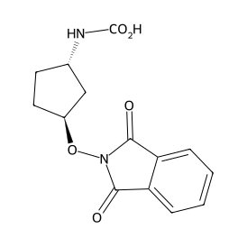 O=C(O)N[C@H]1CC[C@H](ON2C(=O)c3ccccc3C2=O)C1